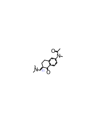 CC(=O)N(C)c1ccc2c(c1)CC/C(=C\N(C)C)C2=O